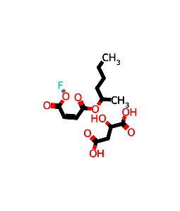 CCCCC(C)OC(=O)/C=C\C(=O)OF.O=C(O)CC(O)C(=O)O